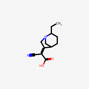 CCC1CCC2CN1CC2=C(C#N)C(=O)O